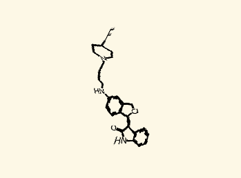 O=C1Nc2ccccc2C1=C1OCc2cc(NCCN3CCC(F)CC3)ccc21